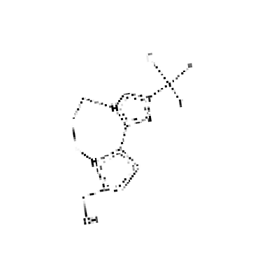 OCc1ccc2n1CCCn1cc(C(F)(F)F)nc1-2